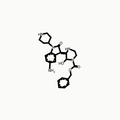 Nc1ccc2c(c1)/C(=C1/NCCN(C(=O)OCc3ccccc3)C1O)C(=O)N2C1CCNCC1